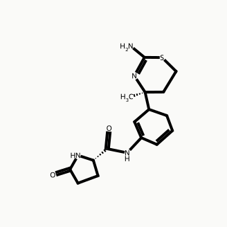 C[C@@]1(C2C=C(NC(=O)[C@@H]3CCC(=O)N3)C=CC2)CCSC(N)=N1